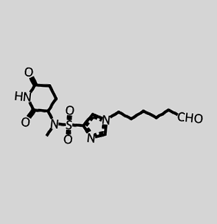 CN(C1CCC(=O)NC1=O)S(=O)(=O)c1cn(CCCCCC=O)cn1